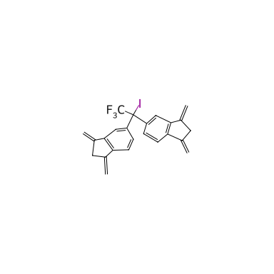 C=C1CC(=C)c2cc(C(I)(c3ccc4c(c3)C(=C)CC4=C)C(F)(F)F)ccc21